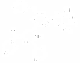 CC1(C)OB([C@H](CCCc2ccccc2)NC(=O)C(CCC(=O)N2CCOCC2)NC(=O)c2cnccn2)OC1(C)C